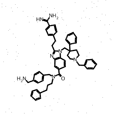 N=C(N)c1ccc(CCc2nc3cc(C(=O)N(CCCc4ccccc4)Cc4ccc(CN)cc4)ccc3n2CC2(c3ccccc3)CCN(Cc3ccccc3)CC2)cc1